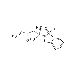 C=CC(=O)CC(C)(C)N1Cc2ccccc2S1(=O)=O